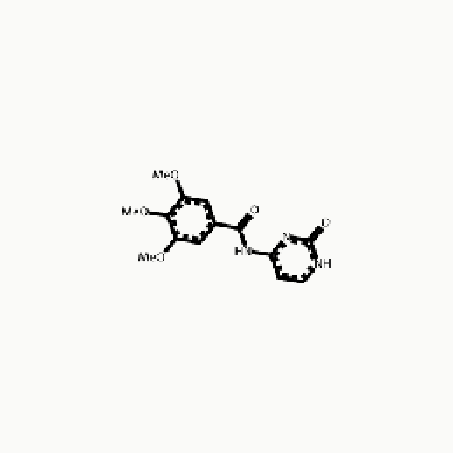 COc1cc(C(=O)Nc2cc[nH]c(=O)n2)cc(OC)c1OC